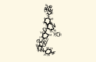 CS(=O)(=O)n1cc(-c2ccc3c(Oc4ccc(NC(=O)C5(C(=O)Nc6ccc(F)cc6)CC5)cc4)ccnc3c2)cn1.Cl